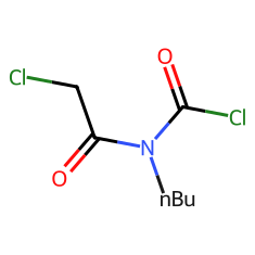 CCCCN(C(=O)Cl)C(=O)CCl